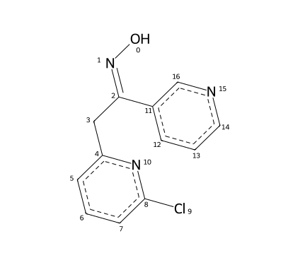 O/N=C(/Cc1cccc(Cl)n1)c1cccnc1